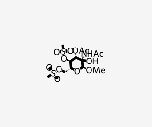 CO[C@H]1O[C@H](COS(C)(=O)=O)[C@@H](OS(C)(=O)=O)[C@H](OC(C)=O)[C@]1(O)NC(C)=O